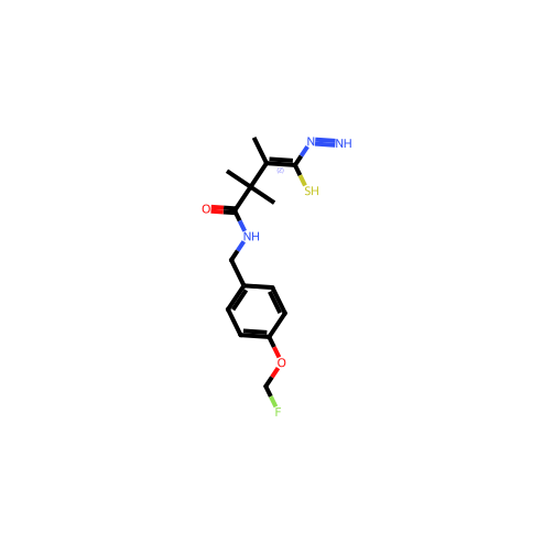 C/C(=C(/S)N=N)C(C)(C)C(=O)NCc1ccc(OCF)cc1